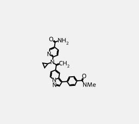 C=C(c1ccn2ncc(-c3ccc(C(=O)NC)cc3)c2c1)N(c1ccc(C(N)=O)cn1)C1CC1